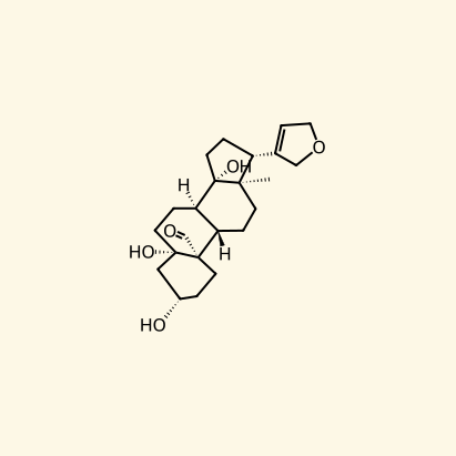 C[C@]12CC[C@H]3[C@@H](CC[C@]4(O)C[C@@H](O)CC[C@]34C=O)[C@@]1(O)CC[C@@H]2C1=CCOC1